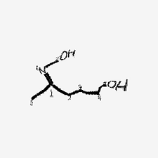 CC(CCCO)=NO